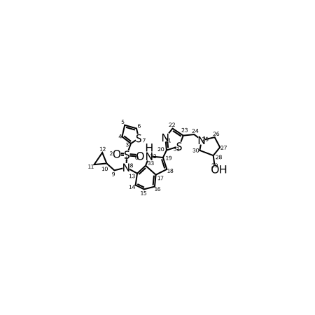 O=S(=O)(c1cccs1)N(CC1CC1)c1cccc2cc(-c3ncc(CN4CCC(O)C4)s3)[nH]c12